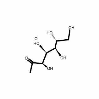 CC(=O)[C@H](O)[C@@H](O)[C@H](O)[C@H](O)CO.[O]